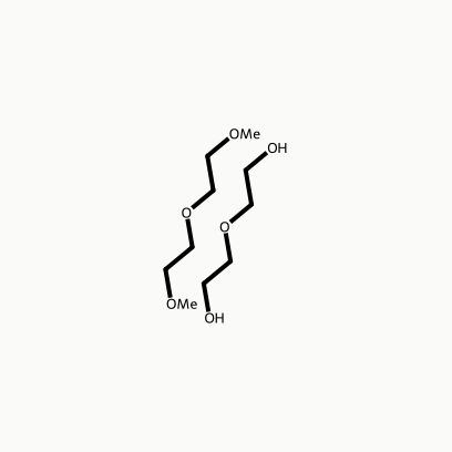 COCCOCCOC.OCCOCCO